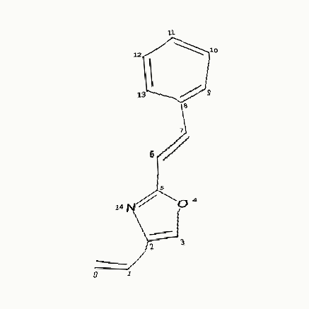 C=Cc1coc(C=Cc2ccccc2)n1